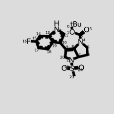 CC(C)(C)OC(=O)N1CCC2C1=C(c1c[nH]c3cc(F)ccc13)CN2S(C)(=O)=O